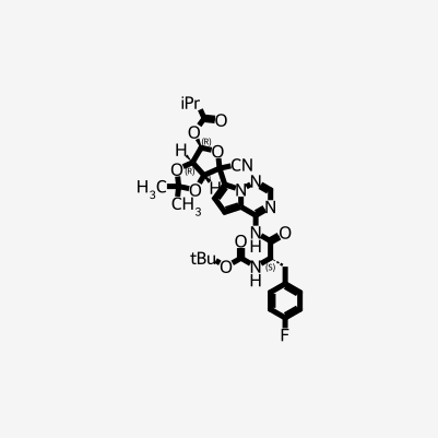 CC(C)C(=O)O[C@H]1OC(C#N)(c2ccc3c(NC(=O)[C@H](Cc4ccc(F)cc4)NC(=O)OC(C)(C)C)ncnn23)[C@@H]2OC(C)(C)O[C@@H]12